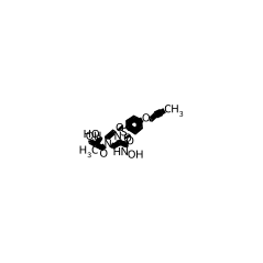 CC#CCOc1ccc(S(=O)(=O)N2CCN(C(=O)C(C)(CO)CO)CC2C(=O)NO)cc1